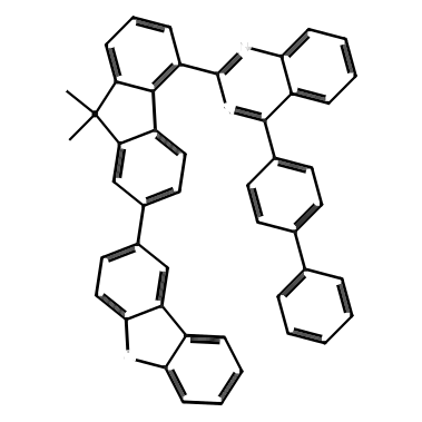 CC1(C)c2cc(-c3ccc4oc5ccccc5c4c3)ccc2-c2c(-c3nc(-c4ccc(-c5ccccc5)cc4)c4ccccc4n3)cccc21